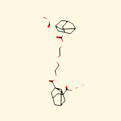 COC(=O)C12CC3CC(C1)CC(C(=O)OCCOCCOC(=O)[C@]14CC5CC(C[C@](C(=O)OC)(C5)C1)C4)(C3)C2